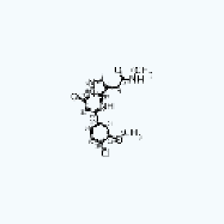 CNC(=O)Cc1cnn2c(=O)cc(-c3ccc(Cl)c(OC)c3)[nH]c12